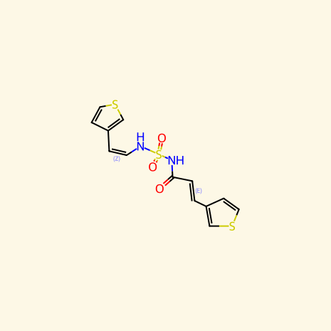 O=C(/C=C/c1ccsc1)NS(=O)(=O)N/C=C\c1ccsc1